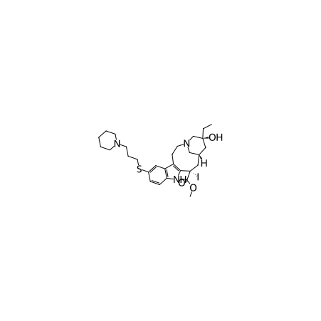 CC[C@]1(O)C[C@H]2CN(CCc3c([nH]c4ccc(SCCCN5CCCCC5)cc34)[C@](I)(C(=O)OC)C2)C1